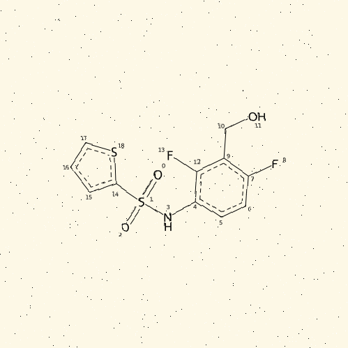 O=S(=O)(Nc1ccc(F)c(CO)c1F)c1cccs1